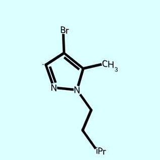 Cc1c(Br)[c]nn1CCC(C)C